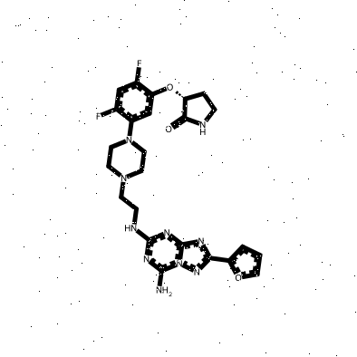 Nc1nc(NCCN2CCN(c3cc(O[C@@H]4CCNC4=O)c(F)cc3F)CC2)nc2nc(-c3ccco3)nn12